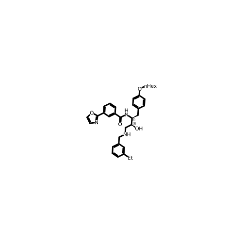 CCCCCCOc1ccc(C[C@H](NC(=O)c2cccc(-c3ncco3)c2)[C@@H](O)CNCc2cccc(CC)c2)cc1